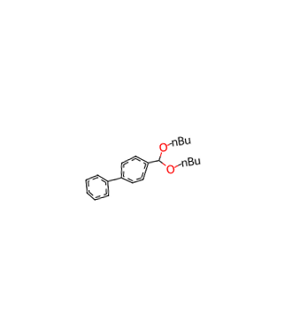 CCCCOC(OCCCC)c1ccc(-c2ccccc2)cc1